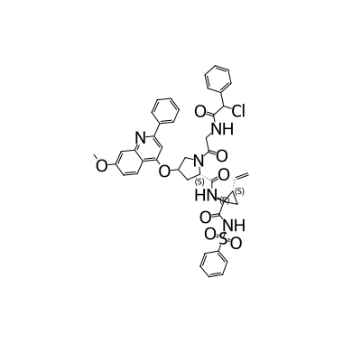 C=C[C@@H]1C[C@]1(NC(=O)[C@@H]1CC(Oc2cc(-c3ccccc3)nc3cc(OC)ccc23)CN1C(=O)CNC(=O)C(Cl)c1ccccc1)C(=O)NS(=O)(=O)c1ccccc1